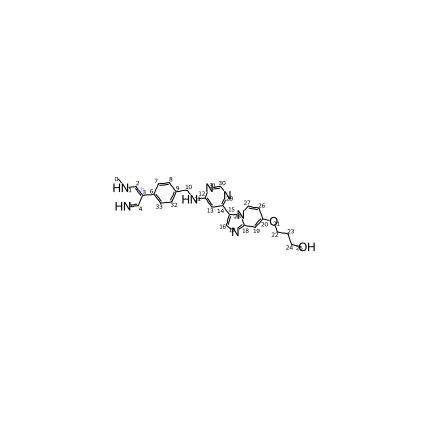 CN/C=C(\C=N)c1ccc(CNc2cc(-c3cnc4cc(OCCCO)ccn34)ncn2)cc1